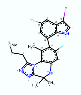 COCCc1nnc2n1-c1c(cc(F)c(-c3cc(F)cc4c(I)c[nH]c34)c1C)NC2(C)C